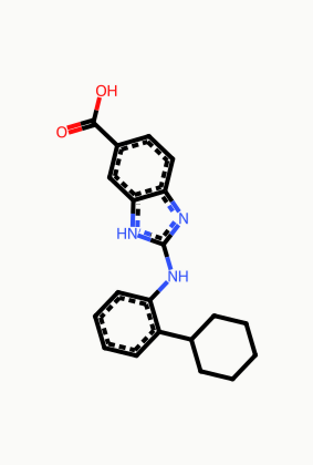 O=C(O)c1ccc2nc(Nc3ccccc3C3CCCCC3)[nH]c2c1